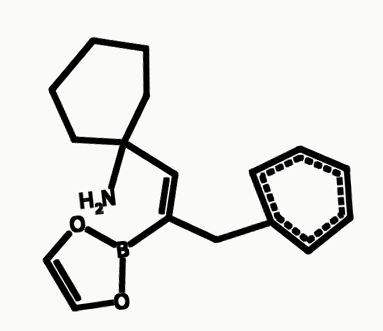 NC1(C=C(Cc2ccccc2)B2OC=CO2)CCCCC1